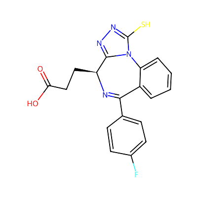 O=C(O)CC[C@@H]1N=C(c2ccc(F)cc2)c2ccccc2-n2c(S)nnc21